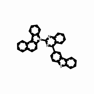 c1ccc2c(c1)ccc1c2c2ccccc2n1-c1nc(-c2ccc3sc4ccccc4c3c2)c2ccccc2n1